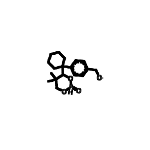 CC1(C)CO[PH](=O)OC1C1(c2ccc(C[O])cc2)CCCCC1